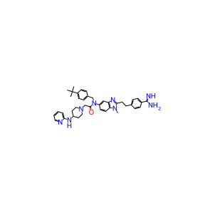 Cn1c(CCc2ccc(C(=N)N)cc2)nc2cc(N(Cc3ccc(C(C)(C)C)cc3)C(=O)CN3CCC(Nc4ccccn4)CC3)ccc21